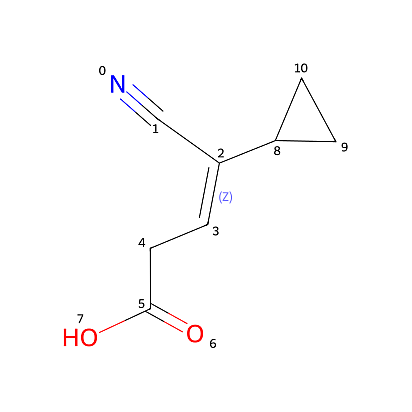 N#C/C(=C\CC(=O)O)C1CC1